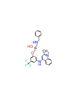 Cc1cc(Nc2cc(OC[C@H](O)CNCc3ccccc3)cc(C(F)(F)F)c2)c2ccccc2n1